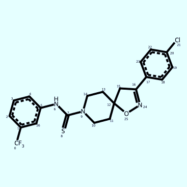 FC(F)(F)c1cccc(NC(=S)N2CCC3(CC2)CC(c2ccc(Cl)cc2)=NO3)c1